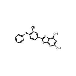 N#Cc1cc(-c2nc3c(O)nc(O)nc3s2)ccc1Oc1ccccc1